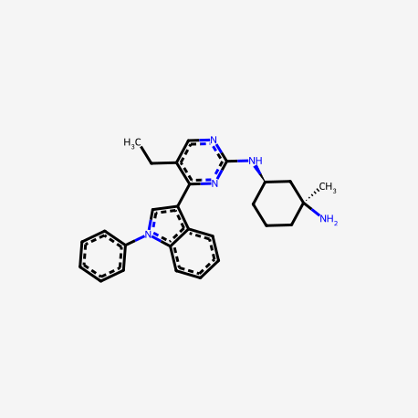 CCc1cnc(N[C@@H]2CCC[C@](C)(N)C2)nc1-c1cn(-c2ccccc2)c2ccccc12